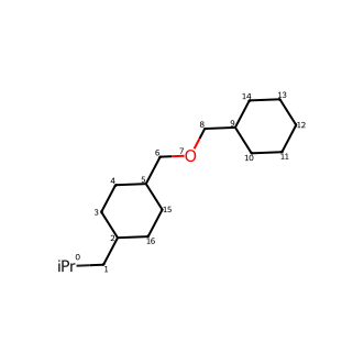 CC(C)CC1CCC(COCC2CCCCC2)CC1